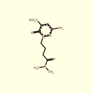 CCOC(=O)c1cc(C)nn(CCCC(=O)N(C)C)c1=O